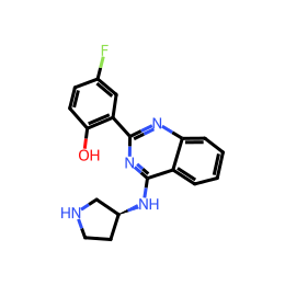 Oc1ccc(F)cc1-c1nc(N[C@H]2CCNC2)c2ccccc2n1